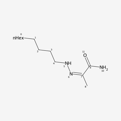 CCCCCCCCCCNN=C(C)C(N)=O